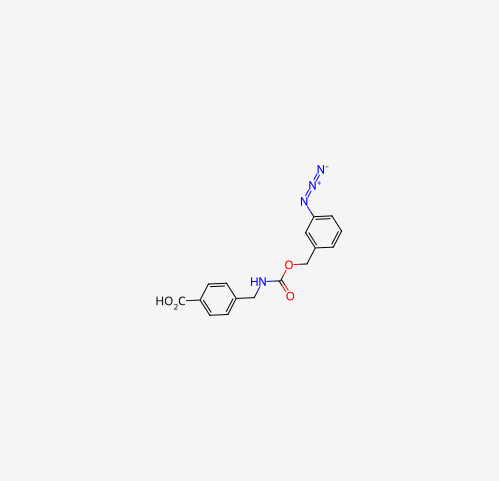 [N-]=[N+]=Nc1cccc(COC(=O)NCc2ccc(C(=O)O)cc2)c1